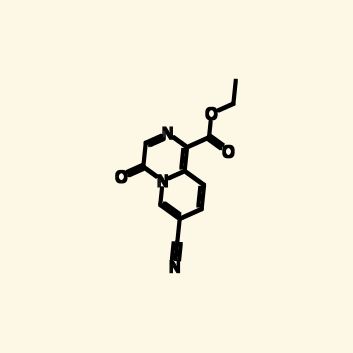 CCOC(=O)c1ncc(=O)n2cc(C#N)ccc12